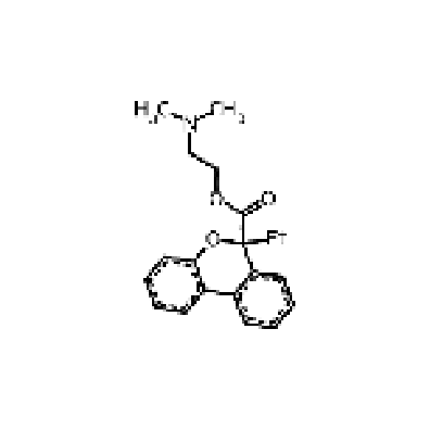 CCC1(C(=O)OCCN(C)C)Oc2ccccc2-c2ccccc21